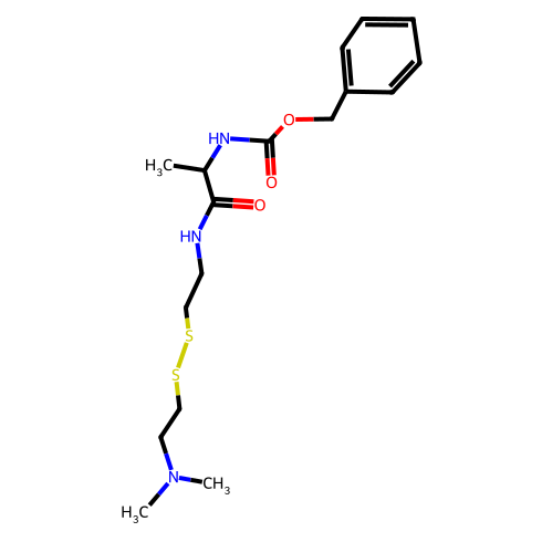 CC(NC(=O)OCc1ccccc1)C(=O)NCCSSCCN(C)C